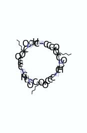 CCCCC[C@H]1C/C=C2/C(=O)C=C[C@@H]2C/C=C\CCCC(=O)O[C@@H](CCCCC)C/C=C2/C(=O)C=C[C@@H]2C/C=C\CCCC(=O)O[C@@H](CCCCC)C/C=C2/C(=O)C=C[C@@H]2C/C=C\CCCC(=O)O1